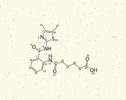 Cc1nc(NC(=O)c2ccccc2NC(=O)CCCCC(=O)O)sc1C